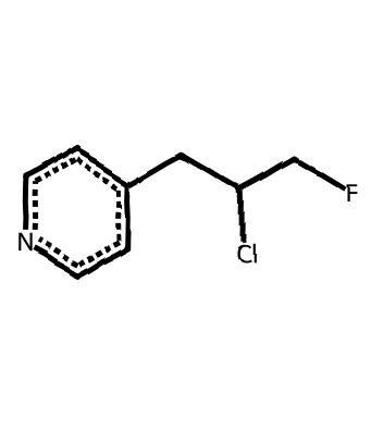 FCC(Cl)Cc1ccncc1